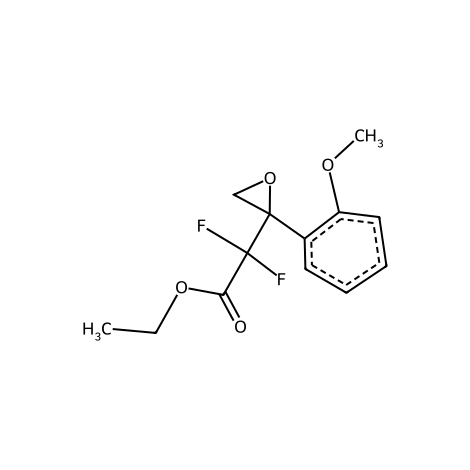 CCOC(=O)C(F)(F)C1(c2ccccc2OC)CO1